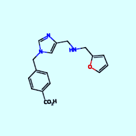 O=C(O)c1ccc(Cn2cnc(CNCc3ccco3)c2)cc1